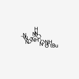 Cc1cn(-c2nccc3[nH]c(-c4n[nH]c5ccc(-c6cncc(NC(=O)CC(C)(C)C)c6)cc45)cc23)cn1